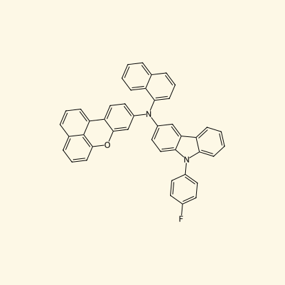 Fc1ccc(-n2c3ccccc3c3cc(N(c4ccc5c(c4)Oc4cccc6cccc-5c46)c4cccc5ccccc45)ccc32)cc1